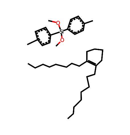 CCCCCCCCC1=C(CCCCCCCC)CCCC1.CO[Si](OC)(c1ccc(C)cc1)c1ccc(C)cc1